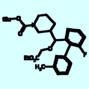 CCOC(=O)COC(c1cccc(F)c1-c1cccc(C)c1)C1CCCN(C(=O)OC(C)(C)C)C1